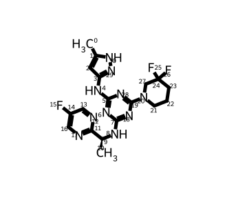 Cc1cc(Nc2nc(N[C@@H](C)c3ncc(F)cn3)nc(N3CCCC(F)(F)C3)n2)n[nH]1